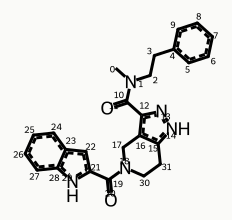 CN(CCc1ccccc1)C(=O)c1n[nH]c2c1CN(C(=O)c1cc3ccccc3[nH]1)CC2